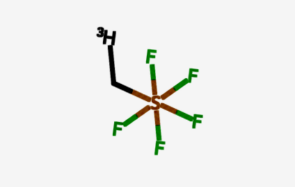 [3H]CS(F)(F)(F)(F)F